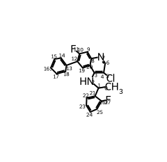 CC(Nc1c(Cl)cnc2cc(F)c(-c3cc[c]cc3)cc12)c1ccccc1F